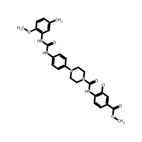 COC(=O)c1ccc(NC(=O)N2CCN(c3ccc(NC(=O)Nc4cc(C)ccc4OC)cc3)CC2)c(Cl)c1